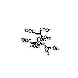 CCCCCCCC/C(=C/C(=O)[O-])C(=O)[O-].CCCCCCCC/C(=C/C(=O)[O-])C(=O)[O-].CCCCCCC[CH2][SnH2+4][CH2]CCCCCCC